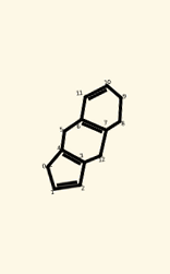 [CH]1C=CC2=C1CC1=C(CCC=C1)C2